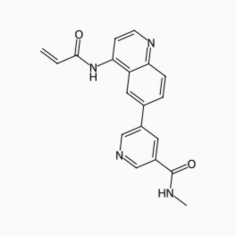 C=CC(=O)Nc1ccnc2ccc(-c3cncc(C(=O)NC)c3)cc12